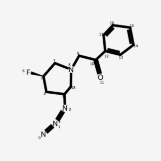 [N-]=[N+]=NC1C[C@@H](F)CN(CC(=O)c2ccccc2)C1